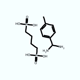 Cc1ccc(C(N)N)cc1.O=P(O)(O)CCCCP(=O)(O)O